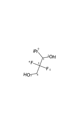 CC(C)C(O)C(F)(F)CO